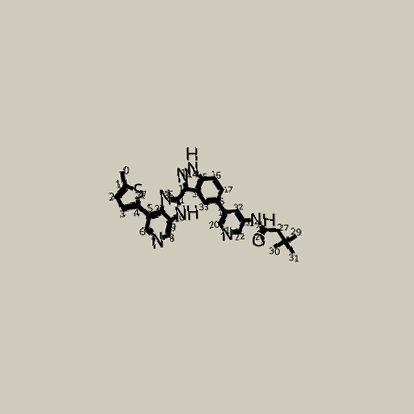 Cc1ccc(-c2cncc3[nH]c(-c4n[nH]c5ccc(-c6cncc(NC(=O)CC(C)(C)C)c6)cc45)nc23)s1